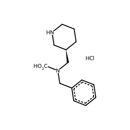 Cl.O=C(O)N(Cc1ccccc1)C[C@@H]1CCCNC1